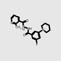 Cc1ncccc1C(=O)NNC(=O)c1cc(F)cc(N2CCCCC2)c1